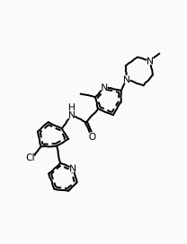 Cc1nc(N2CCN(C)CC2)ccc1C(=O)Nc1ccc(Cl)c(-c2ccccn2)c1